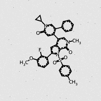 COc1cccc(-c2cc3c(-c4cc(=O)n(C5CC5)cc4-c4ccccc4)cn(C)c(=O)c3n2S(=O)(=O)c2ccc(C)cc2)c1F